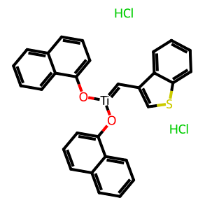 Cl.Cl.[CH](c1csc2ccccc12)=[Ti]([O]c1cccc2ccccc12)[O]c1cccc2ccccc12